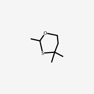 C[C]1OCCC(C)(C)S1